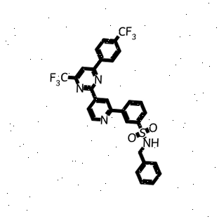 O=S(=O)(NCc1ccccc1)c1cccc(-c2cc(-c3nc(-c4ccc(C(F)(F)F)cc4)cc(C(F)(F)F)n3)ccn2)c1